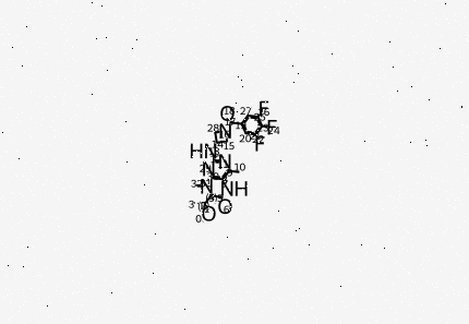 CO[C@H](C)[C@H]1C(=O)Nc2c(C)nc(NC3CN(C(=O)c4cc(F)c(F)c(F)c4)C3)nc2N1C